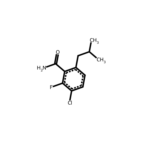 CC(C)Cc1ccc(Cl)c(F)c1C(N)=O